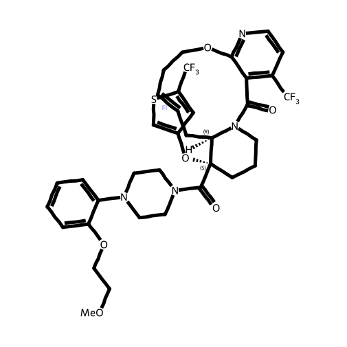 COCCOc1ccccc1N1CCN(C(=O)[C@]2(Oc3csc(C(F)(F)F)c3)CCCN3C(=O)c4c(C(F)(F)F)ccnc4OCC/C=C/C[C@@H]32)CC1